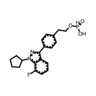 O=[PH](O)OCCc1ccc(-c2nn(C3CCCC3)c3c(F)cccc23)cc1